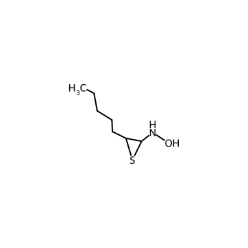 CCCCCC1SC1NO